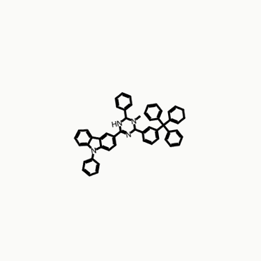 CN1C(c2cccc(C(C3=CCCC=C3)(c3ccccc3)c3ccccc3)c2)N=C(c2ccc3c(c2)c2ccccc2n3-c2ccccc2)NC1c1ccccc1